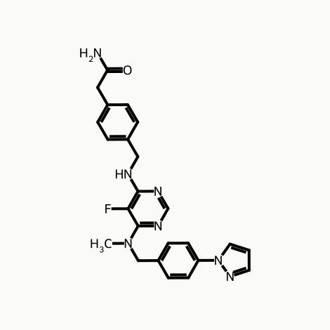 CN(Cc1ccc(-n2cccn2)cc1)c1ncnc(NCc2ccc(CC(N)=O)cc2)c1F